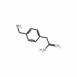 C=C(N)Cc1ccc(CN)cc1